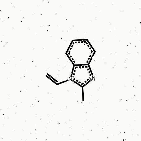 C=Cn1c(C)nc2ccccc21